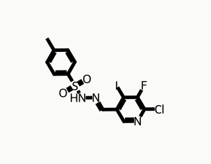 Cc1ccc(S(=O)(=O)N/N=C/c2cnc(Cl)c(F)c2I)cc1